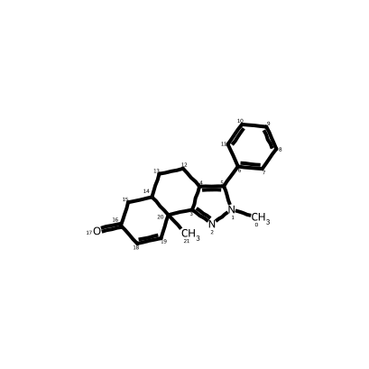 Cn1nc2c(c1-c1ccccc1)CCC1CC(=O)C=CC21C